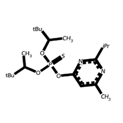 Cc1cc(OP(=S)(OC(C)C(C)(C)C)OC(C)C(C)(C)C)nc(C(C)C)n1